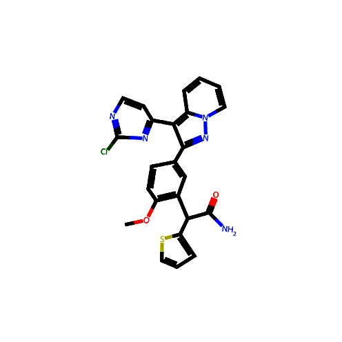 COc1ccc(-c2nn3ccccc3c2-c2ccnc(Cl)n2)cc1C(C(N)=O)c1cccs1